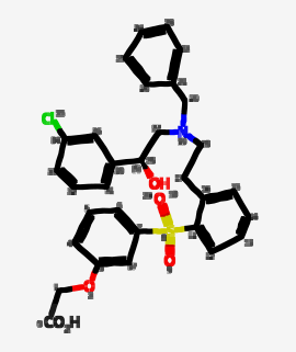 O=C(O)COc1cccc(S(=O)(=O)c2ccccc2CCN(Cc2ccccc2)C[C@@H](O)c2cccc(Cl)c2)c1